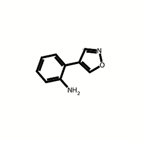 Nc1ccccc1-c1[c]noc1